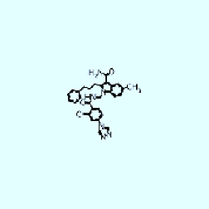 Cc1ccc2c(c1)c(C(N)=O)c(CCCc1ccccc1)n2CNC(=O)c1ccc(-n2cnnc2)cc1Cl